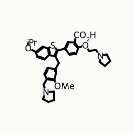 COc1cc(Cc2c(-c3ccc(OCCN4CCCC4)c(C(=O)O)c3)sc3cc(OC(C)C)ccc23)ccc1CN1CCCC1